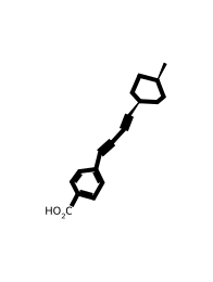 C[C@H]1CC[C@@H](C#CC#Cc2ccc(C(=O)O)cc2)CC1